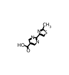 Cc1nc(-c2ncc(C(=O)O)cn2)cs1